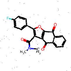 CN(C)C(=O)c1c(-c2ccc(F)cc2)oc2c1C(=O)c1ccccc1C2=O